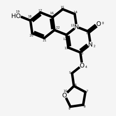 O=c1nc(OCC2CCCO2)cc2n1CCc1cc(O)ccc1-2